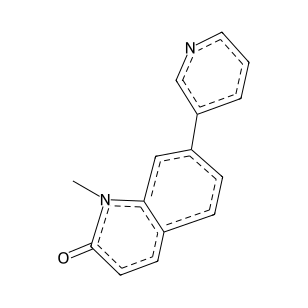 Cn1c(=O)ccc2ccc(-c3cccnc3)cc21